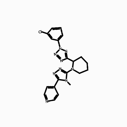 Cn1c(-c2ccncc2)nnc1N1CCCCC1c1nnn(-c2cccc(Cl)c2)n1